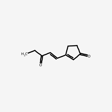 CCC(=O)C=CC1=CC(=O)CC1